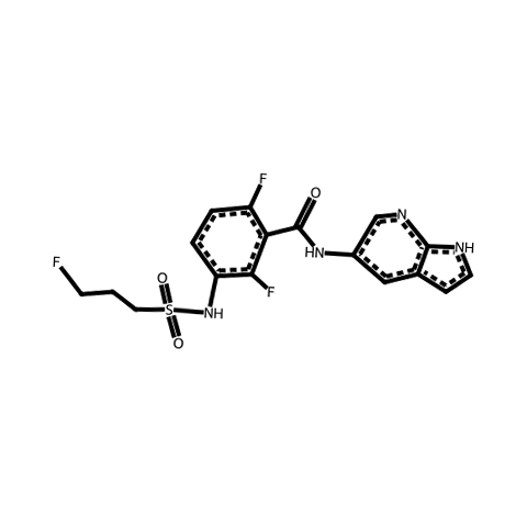 O=C(Nc1cnc2[nH]ccc2c1)c1c(F)ccc(NS(=O)(=O)CCCF)c1F